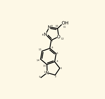 CN1CCc2cc(-c3nnc(O)o3)ccc21